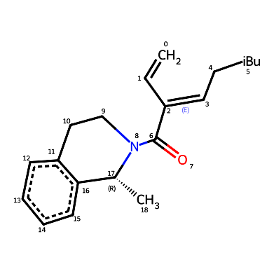 C=C/C(=C\CC(C)CC)C(=O)N1CCc2ccccc2[C@H]1C